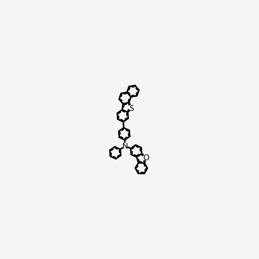 c1ccc(N(c2ccc(-c3ccc4c(c3)sc3c5ccccc5ccc43)cc2)c2ccc3oc4ccccc4c3c2)cc1